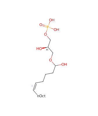 CCCCCCCC/C=C\CCCC(O)OC[C@@H](O)COP(=O)(O)O